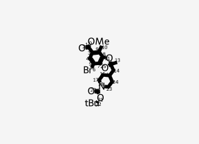 COC(=O)c1cc(Br)c2c(c1C)OC(C)(CC1CCN(C(=O)OC(C)(C)C)CC1)O2